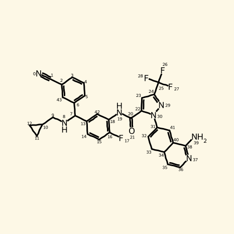 N#Cc1cccc(C(NCC2CC2)c2ccc(F)c(NC(=O)c3cc(C(F)(F)F)nn3C3=CCC4C=CN=C(N)C4=C3)c2)c1